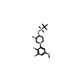 COc1cc(F)c(F)c(N2CC[C@H](O[Si](C)(C)C(C)(C)C)[C@H](C)C2)c1